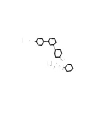 C=C(Sc1ccccc1N)c1ccc(-c2cccc(-c3ccc(C(F)(F)F)cc3)c2)cc1